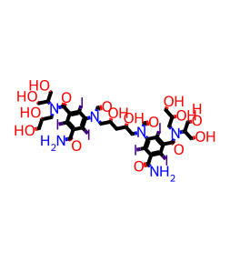 NC(=O)c1c(I)c(C(=O)N(CC(O)CO)C(CO)CO)c(I)c(N(C=O)CC(O)CC(O)CN(C=O)c2c(I)c(C(N)=O)c(I)c(C(=O)N(CC(O)CO)C(CO)CO)c2I)c1I